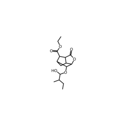 CCOC(=O)C1C2CC3C(OC(=O)C31)C2OC(O)C(C)CC